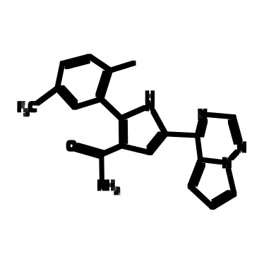 Cc1ccc(C(F)(F)F)cc1-c1[nH]c(-c2ncnn3cccc23)cc1C(N)=O